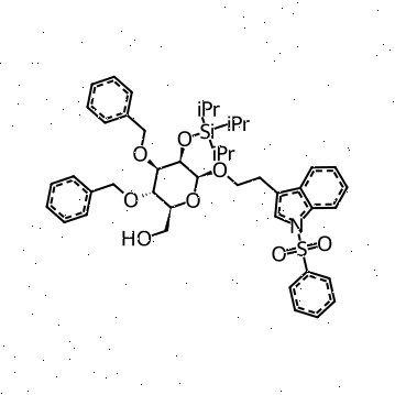 CC(C)[Si](O[C@H]1[C@@H](OCCc2cn(S(=O)(=O)c3ccccc3)c3ccccc23)O[C@@H](CO)[C@H](OCc2ccccc2)[C@H]1OCc1ccccc1)(C(C)C)C(C)C